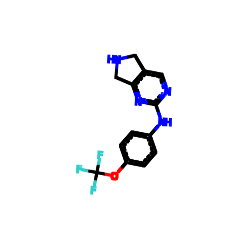 FC(F)(F)Oc1ccc(Nc2ncc3c(n2)CNC3)cc1